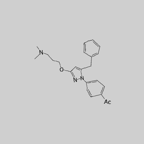 CC(=O)c1ccc(-n2nc(OCCCN(C)C)cc2Cc2ccccc2)cc1